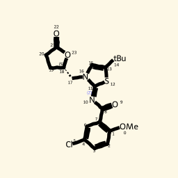 COc1ccc(Cl)cc1C(=O)/N=c1\sc(C(C)(C)C)cn1C[C@@H]1CCC(=O)O1